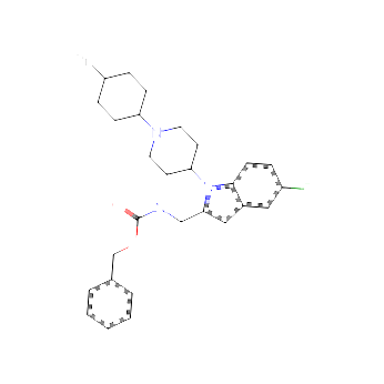 CC(C)C1CCC(N2CCC(n3c(CNC(=O)OCc4ccccc4)cc4cc(F)ccc43)CC2)CC1